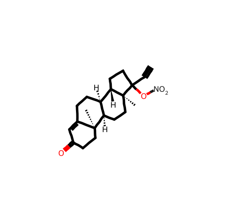 C#CC1(O[N+](=O)[O-])CC[C@H]2[C@@H]3CCC4=CC(=O)CC[C@]4(C)[C@@H]3CC[C@@]21C